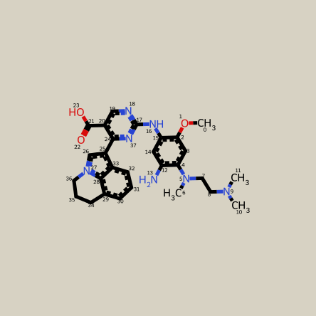 COc1cc(N(C)CCN(C)C)c(N)cc1Nc1ncc(C(=O)O)c(-c2cn3c4c(cccc24)CCC3)n1